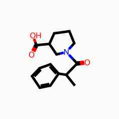 CC(C(=O)N1CCCC(C(=O)O)C1)c1ccccc1